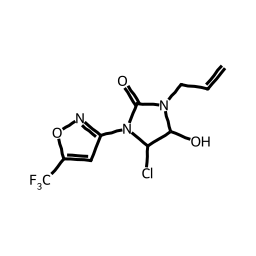 C=CCN1C(=O)N(c2cc(C(F)(F)F)on2)C(Cl)C1O